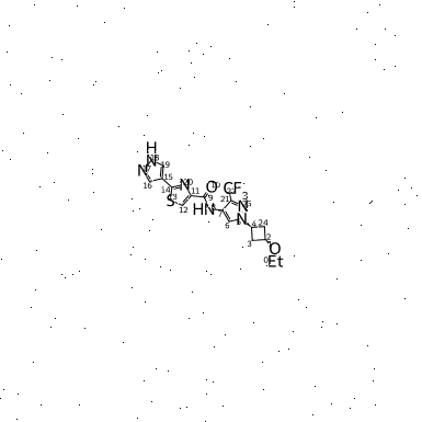 CCO[C@H]1C[C@@H](n2cc(NC(=O)c3csc(-c4cn[nH]c4)n3)c(C(F)(F)F)n2)C1